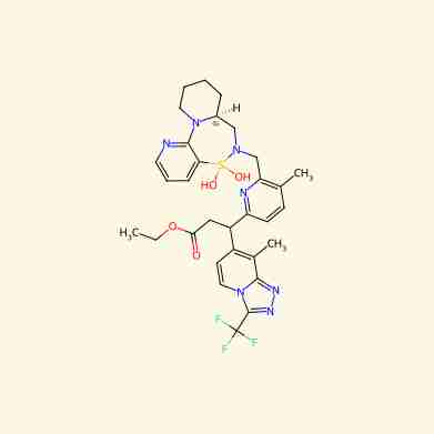 CCOC(=O)CC(c1ccc(C)c(CN2C[C@@H]3CCCCN3c3ncccc3S2(O)O)n1)c1ccn2c(C(F)(F)F)nnc2c1C